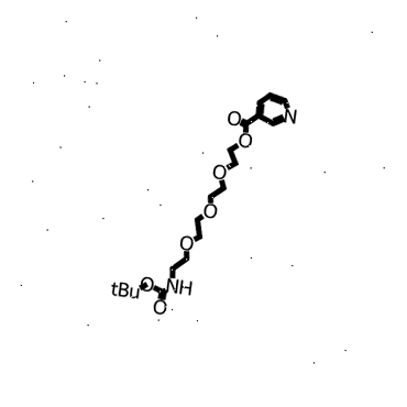 CC(C)(C)OC(=O)NCCOCCOCCOCCOC(=O)c1cccnc1